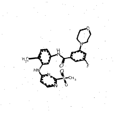 Cc1ccc(NC(=O)c2cc(F)cc(N3CCOCC3)c2)cc1Nc1ccnc(S(C)(=O)=O)n1